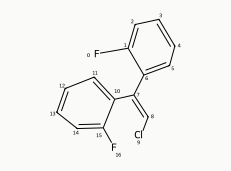 Fc1ccccc1C(=CCl)c1ccccc1F